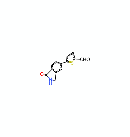 O=Cc1ccc(-c2ccc3c(c2)CNC3=O)s1